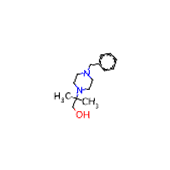 CC(C)(CO)N1CCN(Cc2ccccc2)CC1